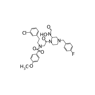 COc1ccc(S(=O)(=O)N(CCc2cccc(Cl)c2)CC(=O)N2CCN(Cc3ccc(F)cc3)CC2N(O)C=O)cc1